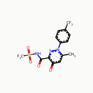 Cc1cc(=O)c(C(=O)NS(=O)(=O)C(F)(F)F)nn1-c1ccc(C(F)(F)F)cc1